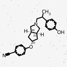 CC(CN1C[C@H]2C[C@H](Oc3ccc(C#N)cc3)C[C@H]2C1)c1ccc(O)cc1